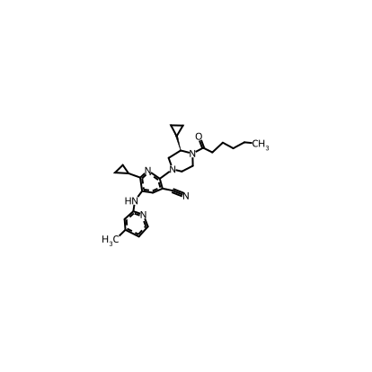 CCCCCC(=O)N1CCN(c2nc(C3CC3)c(Nc3cc(C)ccn3)cc2C#N)C[C@H]1C1CC1